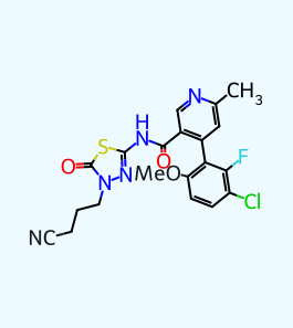 COc1ccc(Cl)c(F)c1-c1cc(C)ncc1C(=O)Nc1nn(CCCC#N)c(=O)s1